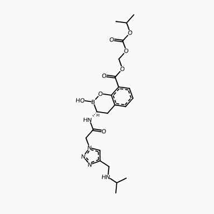 CC(C)NCc1cn(CC(=O)N[C@H]2Cc3cccc(C(=O)OCOC(=O)OC(C)C)c3OB2O)nn1